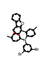 Cc1ccc(N(c2cc(Br)cc(Br)c2)c2ccc(C)cc2-c2cccc3c2oc2ccccc23)cc1